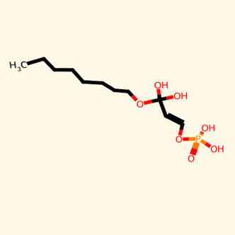 CCCCCCCCOC(O)(O)C=COP(=O)(O)O